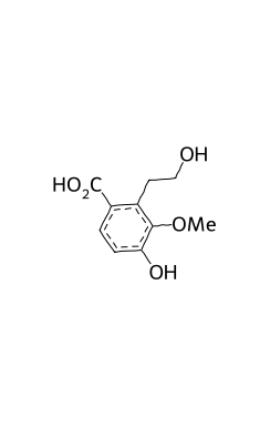 COc1c(O)ccc(C(=O)O)c1CCO